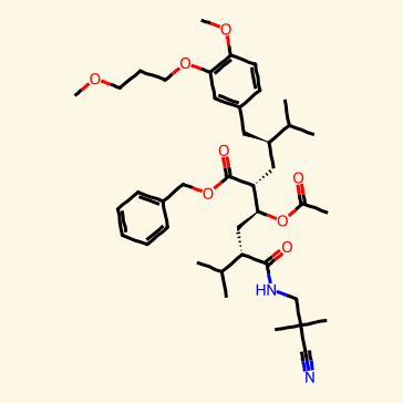 COCCCOc1cc(C[C@H](C[C@@H](C(=O)OCc2ccccc2)[C@H](C[C@H](C(=O)NCC(C)(C)C#N)C(C)C)OC(C)=O)C(C)C)ccc1OC